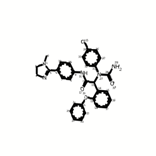 CN1CCN=C1c1ccc(NC(=O)C(c2ccccc2Oc2ccccc2)N(C(N)=O)c2ccc(Cl)cc2)cc1